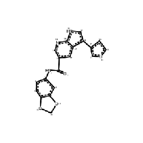 O=C(Nc1ccc2c(c1)OCO2)c1cnc2[nH]cc(-c3ccoc3)c2c1